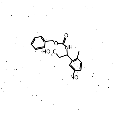 Cc1ccc(N=O)cc1C(CC(=O)O)NC(=O)OCc1ccccc1